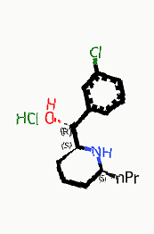 CCC[C@H]1CCC[C@@H]([C@H](O)c2cccc(Cl)c2)N1.Cl